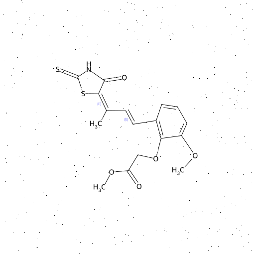 COC(=O)COc1c(/C=C/C(C)=C2/SC(=S)NC2=O)cccc1OC